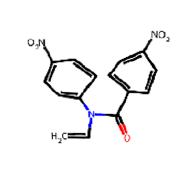 C=CN(C(=O)c1ccc([N+](=O)[O-])cc1)c1ccc([N+](=O)[O-])cc1